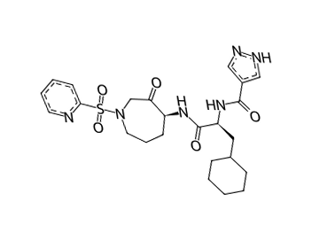 O=C(N[C@@H](CC1CCCCC1)C(=O)N[C@H]1CCCN(S(=O)(=O)c2ccccn2)CC1=O)c1cn[nH]c1